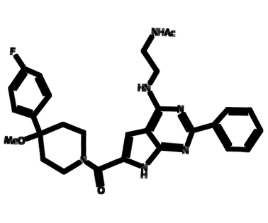 COC1(c2ccc(F)cc2)CCN(C(=O)c2cc3c(NCCNC(C)=O)nc(-c4ccccc4)nc3[nH]2)CC1